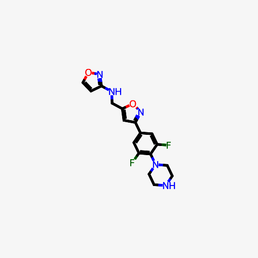 Fc1cc(-c2cc(CNc3ccon3)on2)cc(F)c1N1CCNCC1